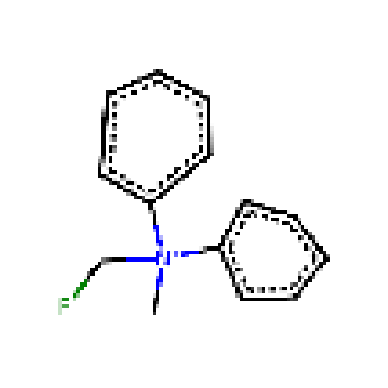 C[N+](CF)(c1ccccc1)c1ccccc1